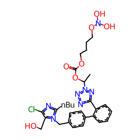 CCCCc1nc(Cl)c(CO)n1Cc1ccc(-c2ccccc2-c2nnn(C(C)OC(=O)OCCCCON(O)O)n2)cc1